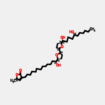 CCCCCC[C@@H](O)CCC[C@@H](O)[C@H]1CC[C@H]([C@H]2CC[C@H]([C@H](O)CCCCCCCCCCCCC3=C[C@@H](C)OC3=O)O2)O1